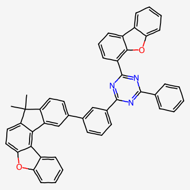 CC1(C)c2ccc(-c3cccc(-c4nc(-c5ccccc5)nc(-c5cccc6c5oc5ccccc56)n4)c3)cc2-c2c1ccc1oc3ccccc3c21